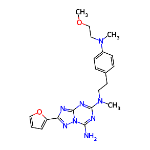 COCCN(C)c1ccc(CCN(C)c2nc(N)n3nc(-c4ccco4)nc3n2)cc1